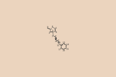 C=C/C=C(\C=C/C)CSSSCc1ccccc1